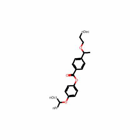 CCCCCCCCCCCCOC(C)c1ccc(C(=O)Oc2ccc(OC(CCC)CCCCCCCC)cc2)cc1